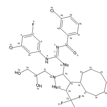 O=C(/N=C(/Nc1cc(F)cc(Cl)c1)NC1C(C2CCCCCCC2)C(C(F)(F)F)NN1CC(O)CO)c1cccc(Cl)c1